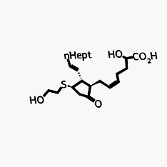 CCCCCCC/C=C/[C@H]1[C@@H](SCCO)CC(=O)[C@@H]1C/C=C\CCC(O)C(=O)O